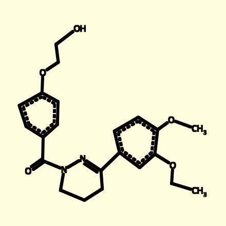 CCOc1cc(C2=NN(C(=O)c3ccc(OCCO)cc3)CCC2)ccc1OC